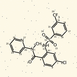 CN(C(=O)c1ccc(Cl)cc1NS(=O)(=O)c1cccc(C(F)(F)F)c1)c1ccccn1